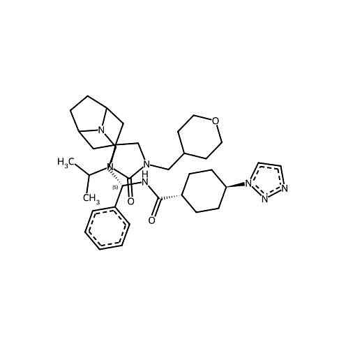 CC(C)N1C(=O)N(CC2CCOCC2)CC12CC1CCC(C2)N1CC[C@H](NC(=O)[C@H]1CC[C@H](n2ccnn2)CC1)c1ccccc1